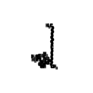 CCCCCCCCCCCCCCCCCCC(CCC)C(=O)OC(CP(=O)(O)OCC[N+](C)(C)C)OCC